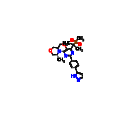 C[C@@H]1COCC2COc3c(nc(-c4ccc(-c5ccn[nH]5)cc4)nc3C(C)(C)S(C)(=O)=O)N21